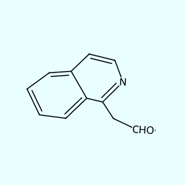 O=[C]Cc1nccc2ccccc12